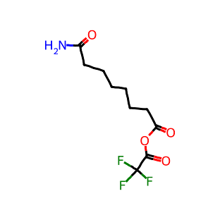 NC(=O)CCCCCCC(=O)OC(=O)C(F)(F)F